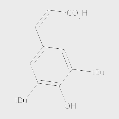 CC(C)(C)c1cc(/C=C\C(=O)O)cc(C(C)(C)C)c1O